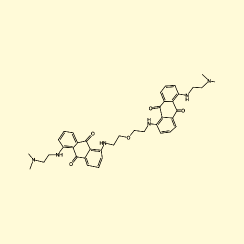 CN(C)CCNc1cccc2c1C(=O)c1cccc(NCCOCCNc3cccc4c3C(=O)c3cccc(NCCN(C)C)c3C4=O)c1C2=O